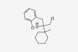 CC1(C(O)(CCl)Cc2ccccc2Cl)CCCCC1